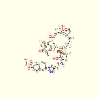 CC[C@H]1OC(=O)[C@H](C)[C@@H](C2C[C@@](C)(OC)[C@@H](O)[C@H](C)O2)[C@H](C)[C@@H](O[C@@H]2O[C@H](C)C[C@H](N(C)CCc3cn([C@H](CF)Cc4ccc(S(=O)(=O)CC)cc4)nn3)[C@H]2O)[C@](C)(O)C[C@@H](C)CN(C)[C@H](C)[C@@H](O)[C@]1(C)O